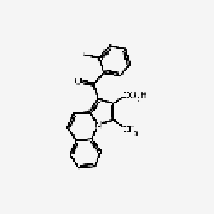 Cc1ccccc1C(=O)c1c(C(=O)O)c(C(F)(F)F)n2c1ccc1ccccc12